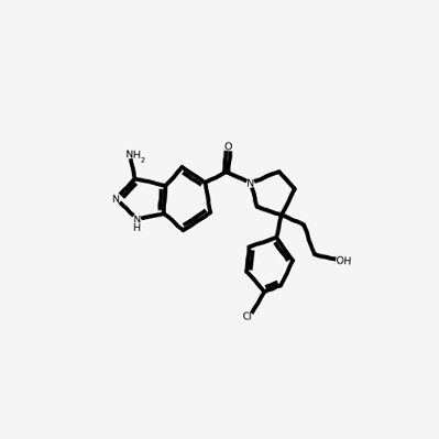 Nc1n[nH]c2ccc(C(=O)N3CCC(CCO)(c4ccc(Cl)cc4)C3)cc12